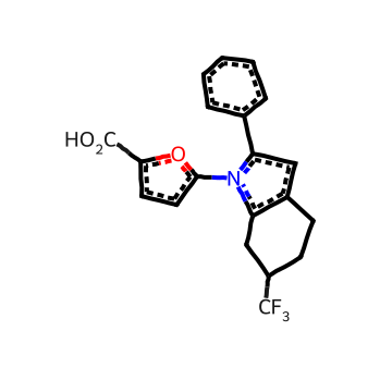 O=C(O)c1ccc(-n2c(-c3ccccc3)cc3c2CC(C(F)(F)F)CC3)o1